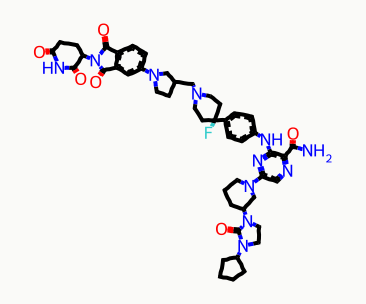 NC(=O)c1ncc(N2CCCC(N3CCN(C4CCCC4)C3=O)C2)nc1Nc1ccc(C2(F)CCN(CC3CCN(c4ccc5c(c4)C(=O)N(C4CCC(=O)NC4=O)C5=O)C3)CC2)cc1